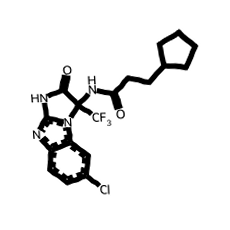 O=C(CCC1CCCC1)NC1(C(F)(F)F)C(=O)Nc2nc3ccc(Cl)cc3n21